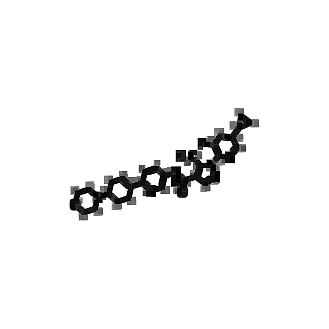 Cc1c(C(=O)Nc2ccc(C3=CCC(N4CCOCC4)CC3)nc2)cnn1-c1ncc(C2CC2)cc1F